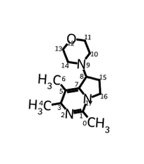 CC1=NC(C)C(C)=C2C(N3CCOCC3)CCN12